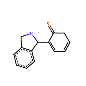 S=C1CC=CC=C1C1[N]Cc2ccccc21